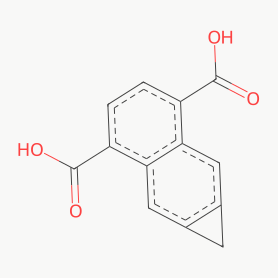 O=C(O)c1ccc(C(=O)O)c2cc3c(cc12)C3